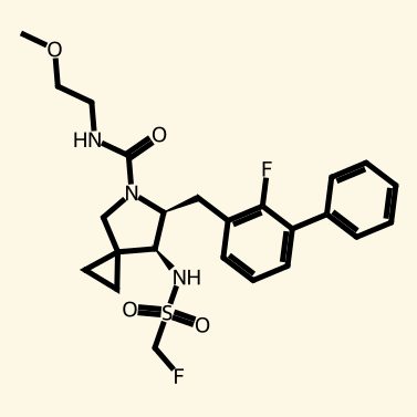 COCCNC(=O)N1CC2(CC2)[C@H](NS(=O)(=O)CF)[C@@H]1Cc1cccc(-c2ccccc2)c1F